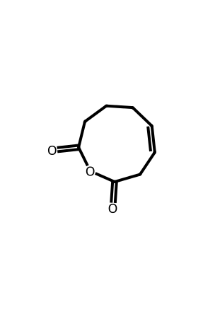 O=C1CC=CCCCC(=O)O1